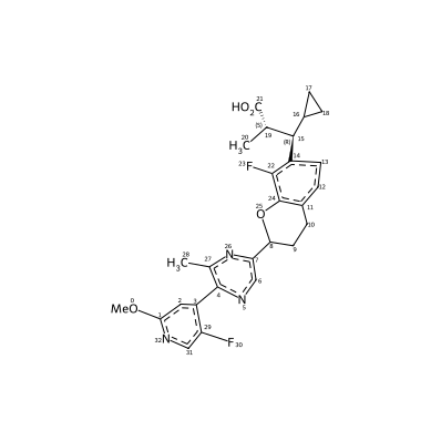 COc1cc(-c2ncc(C3CCc4ccc([C@H](C5CC5)[C@H](C)C(=O)O)c(F)c4O3)nc2C)c(F)cn1